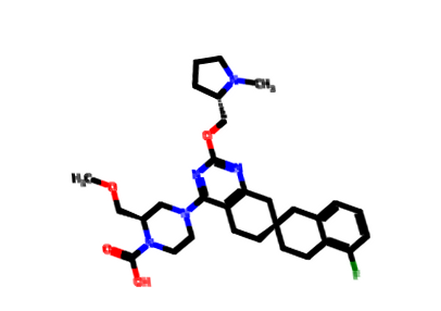 COC[C@H]1CN(c2nc(OC[C@@H]3CCCN3C)nc3c2CC[C@@]2(CCc4c(F)cccc4C2)C3)CCN1C(=O)O